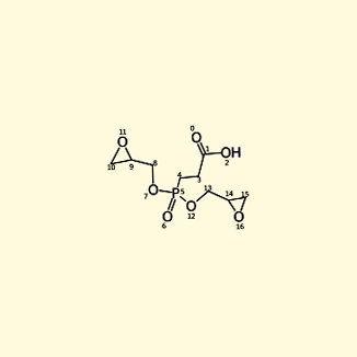 O=C(O)CCP(=O)(OCC1CO1)OCC1CO1